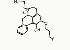 CCCN1CCc2cc(OCCCF)c(O)c3c2[C@H]1Cc1ccccc1-3